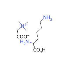 C[N+](C)(C)CC(=O)[O-].NCCCC[C@H](N)C(=O)O